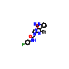 CCc1nc2n(CC(=O)Nc3ccc(F)cc3)ccn2c(=O)c1-c1ccccc1N